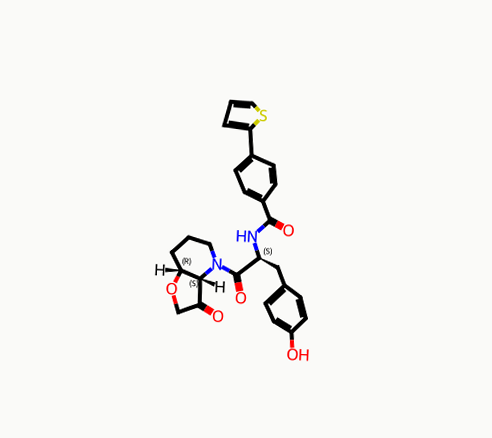 O=C(N[C@@H](Cc1ccc(O)cc1)C(=O)N1CCC[C@H]2OCC(=O)[C@H]21)c1ccc(-c2cccs2)cc1